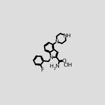 Cl.NC(=O)c1cc2c(N3CCNCC3)cccc2n1Cc1ccccc1F